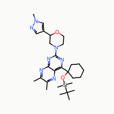 Cc1nc2nc(N3CCOC(c4cnn(C)c4)C3)nc(C3(O[Si](C)(C)C(C)(C)C)CCCCC3)c2nc1C